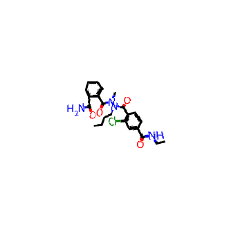 CCCCN(C(=O)c1ccc(C(=O)NCC)cc1Cl)N(C)C(=O)c1ccccc1C(N)=O